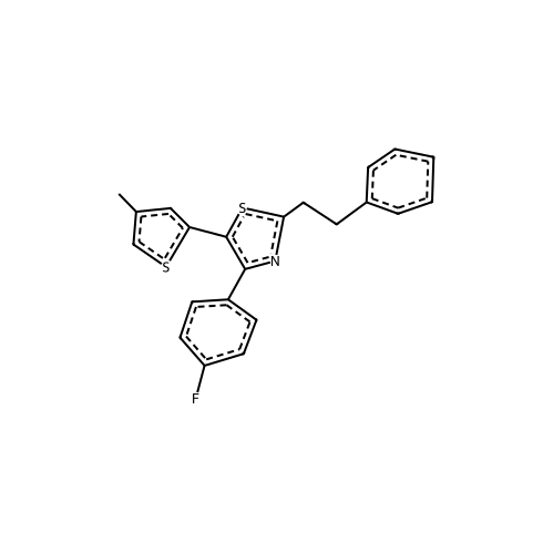 Cc1csc(-c2sc(CCc3ccccc3)nc2-c2ccc(F)cc2)c1